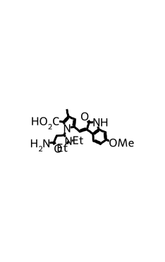 CCN(CC)C(CC(N)=O)n1c(C=C2C(=O)Nc3cc(OC)ccc32)cc(C)c1C(=O)O